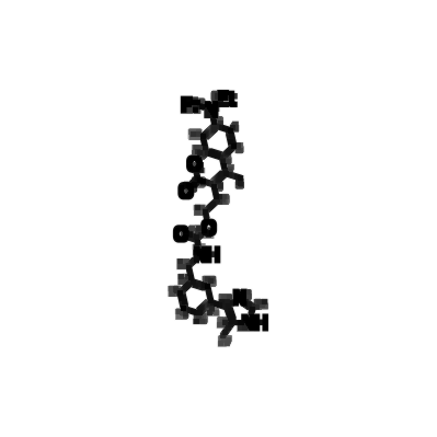 CCN(CC)c1ccc2c(C)c(CCOC(=O)NCc3cccc(-c4nc[nH]c4C)c3)c(=O)oc2c1